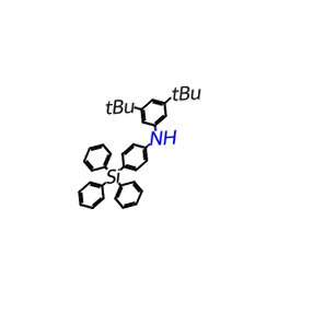 CC(C)(C)c1cc(Nc2ccc([Si](c3ccccc3)(c3ccccc3)c3ccccc3)cc2)cc(C(C)(C)C)c1